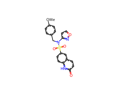 COc1ccc(CN(c2ccon2)S(=O)(=O)c2ccc3[nH]c(=O)ccc3c2)cc1